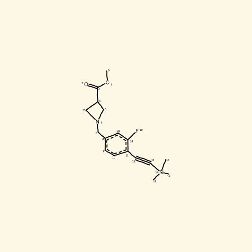 COC(=O)C1CN(Cc2ccc(C#C[Si](C)(C)C)c(F)c2)C1